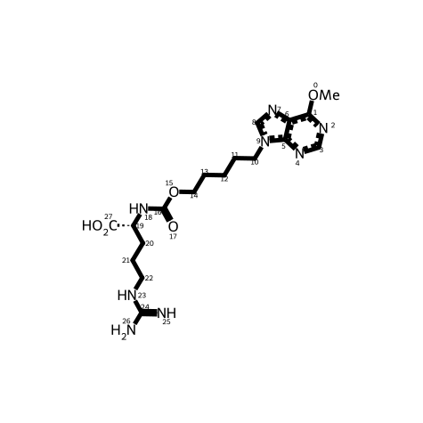 COc1ncnc2c1ncn2CCCCCOC(=O)N[C@H](CCCNC(=N)N)C(=O)O